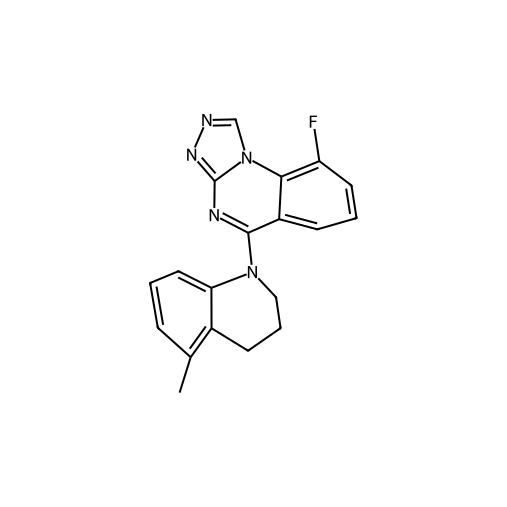 Cc1cccc2c1CCCN2c1nc2nncn2c2c(F)cccc12